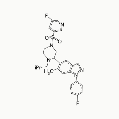 Cc1cc2c(cnn2-c2ccc(F)cc2)cc1C1CN(S(=O)(=O)c2cncc(F)c2)CCN1CC(C)C